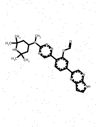 CN(c1ncc(-c2ccc(-c3cnc4[nH]ccc4n3)cc2OC=O)nn1)C1CC(C)(C)NC(C)(C)C1